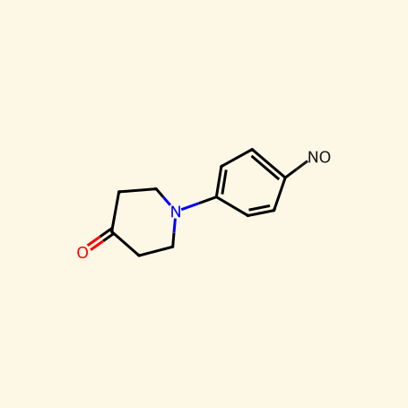 O=Nc1ccc(N2CCC(=O)CC2)cc1